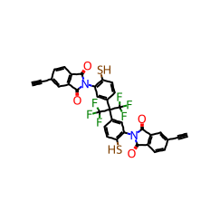 C#Cc1ccc2c(c1)C(=O)N(c1cc(C(c3ccc(S)c(N4C(=O)c5ccc(C#C)cc5C4=O)c3)(C(F)(F)F)C(F)(F)F)ccc1S)C2=O